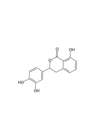 O=C1OC(c2ccc(O)c(O)c2)Cc2cccc(O)c21